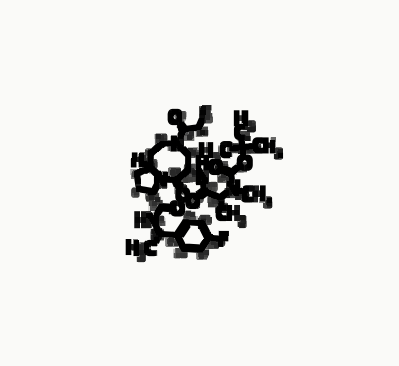 C[C@@H](NC(=O)[C@@H]1CC[C@@H]2CCN(C(=O)CF)C[C@H](NC(=O)[C@H](C)N(C)C(=O)OC(C)(C)C)C(=O)N21)c1ccc(F)cc1